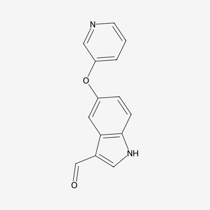 O=Cc1c[nH]c2ccc(Oc3cccnc3)cc12